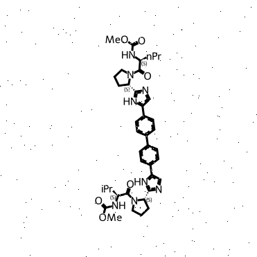 CCC[C@H](NC(=O)OC)C(=O)N1CCC[C@H]1c1ncc(-c2ccc(-c3ccc(-c4cnc([C@@H]5CCCN5C(=O)[C@@H](NC(=O)OC)C(C)C)[nH]4)cc3)cc2)[nH]1